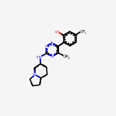 Cc1nc(NC2CCC3CCCN3C2)nnc1-c1ccc(C(F)(F)F)cc1O